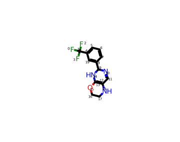 FC(F)(F)c1cccc(C2N=CC3=C(N2)OCCN3)c1